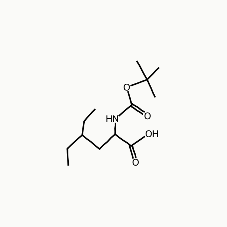 CCC(CC)CC(NC(=O)OC(C)(C)C)C(=O)O